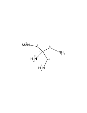 CNCC(N)(CN)CN